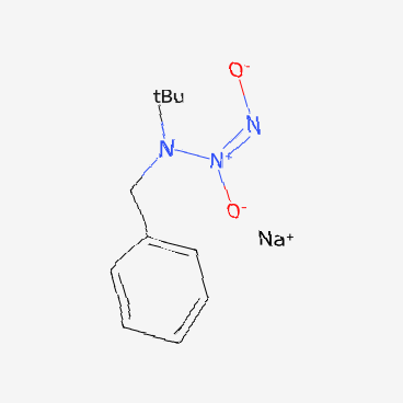 CC(C)(C)N(Cc1ccccc1)/[N+]([O-])=N\[O-].[Na+]